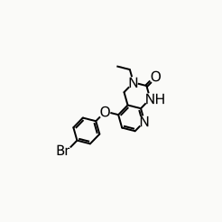 CCN1Cc2c(Oc3ccc(Br)cc3)ccnc2NC1=O